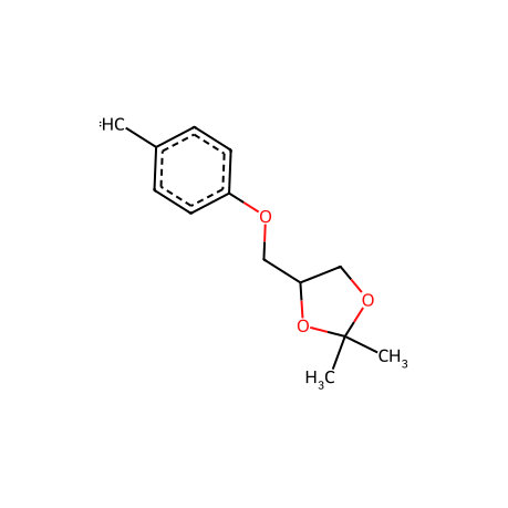 [CH]c1ccc(OCC2COC(C)(C)O2)cc1